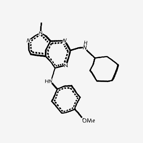 COc1ccc(Nc2nc(NC3CCCCC3)nc3c2cnn3C)cc1